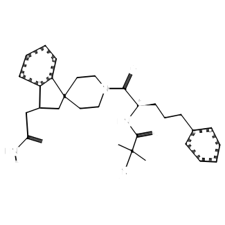 CCNC(=O)CC1CC2(CCN(C(=O)[C@@H](CCCc3ccccc3)NC(=O)C(C)(C)N)CC2)c2ccccc21